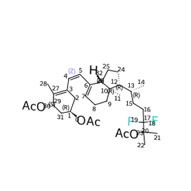 CC(=O)O[C@@H]1CC(/C=C\C2=CCC[C@]3(C)[C@@H]([C@H](C)CCC(F)(F)C(C)(C)OC(C)=O)CC[C@@H]23)=C(C)[C@@H](OC(C)=O)C1